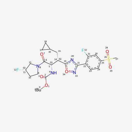 CC(C)(C)OC(=O)N[C@H](C(=O)N1CC[C@H](F)C1)[C@H](CC1CC1)c1nc(-c2ccc(S(C)(=O)=O)cc2F)no1